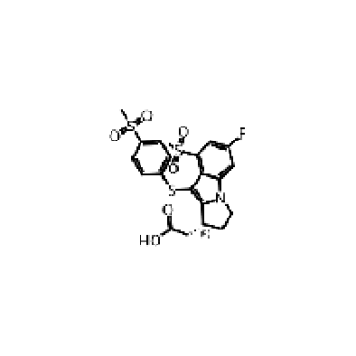 CS(=O)(=O)c1ccc(Sc2c3n(c4cc(F)cc(S(C)(=O)=O)c24)CC[C@@H]3CC(=O)O)cc1